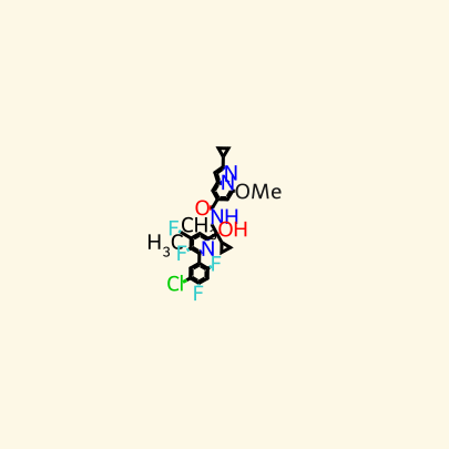 COc1cc(C(=O)NC[C@](O)(c2cc(C(C)(C)F)c(F)c(-c3cc(Cl)c(F)cc3F)n2)C2CC2)cc2cc(C3CC3)nn12